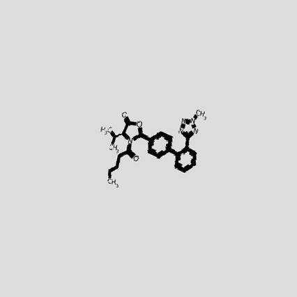 CCCCC(=O)N1C(c2ccc(-c3ccccc3-c3nnn(C)n3)cc2)OC(=O)[C@@H]1C(C)C